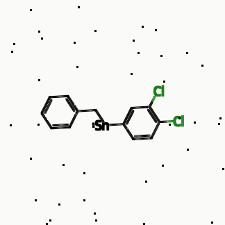 Clc1cc[c]([Sn][CH2]c2ccccc2)cc1Cl